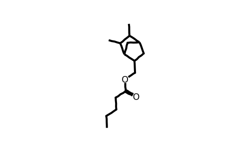 CCCCC(=O)OCC1CC2CC1C(C)C2C